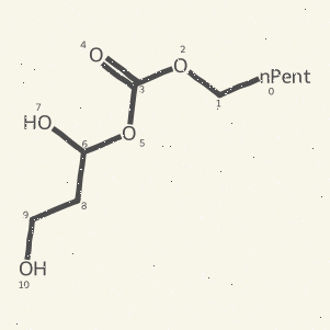 CCCCCCOC(=O)OC(O)CCO